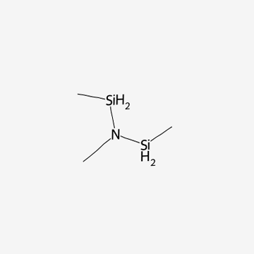 C[SiH2]N(C)[SiH2]C